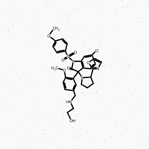 COc1ccc(S(=O)(=O)N2C(=O)C(c3cc(CNCCO)ccc3OC)(N3CCCC3c3ncco3)c3ccc(Cl)cc32)cc1